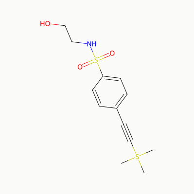 CS(C)(C)C#Cc1ccc(S(=O)(=O)NCCO)cc1